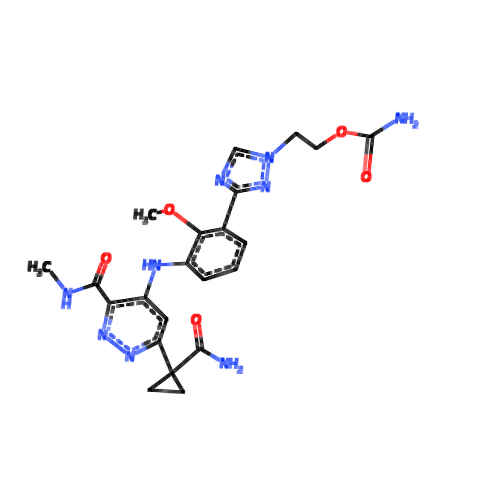 CNC(=O)c1nnc(C2(C(N)=O)CC2)cc1Nc1cccc(-c2ncn(CCOC(N)=O)n2)c1OC